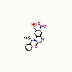 C[C@@H](c1ccccc1)n1c(=O)cnc2cc([N+](=O)[O-])c(CO)cc21